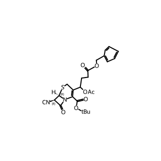 [C-]#[N+][C@@H]1C(=O)N2C(C(=O)OC(C)(C)C)=C(C(CCC(=O)OCc3ccccc3)OC(C)=O)CS[C@H]12